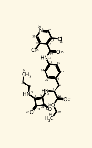 CCCNc1c(N[C@@H](Cc2ccc(NC(=O)c3c(Cl)cncc3Cl)cc2)C(=O)OCC)c(=O)c1=O